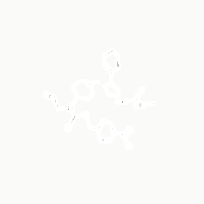 C=CCN(C(=O)OCc1ccc([N+](=O)[O-])cc1)C1CCN(C[C@H]2C[C@@H](NC(=S)NC)C[C@@H]2c2ccccc2)CC1